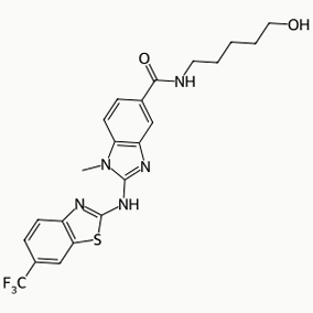 Cn1c(Nc2nc3ccc(C(F)(F)F)cc3s2)nc2cc(C(=O)NCCCCCO)ccc21